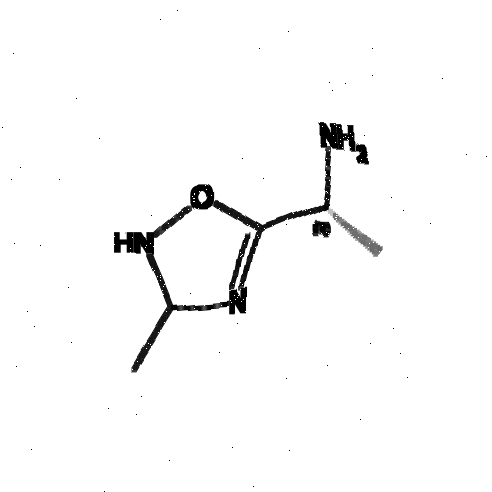 CC1N=C([C@@H](C)N)ON1